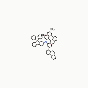 CC(C)(C)c1cc(-c2cccc3cccc(-c4ccccc4N(c4cccc(-c5cccc6c5ccc5ccccc56)c4)c4ccc5c(c4)C(c4ccccc4)(c4ccccc4)c4ccccc4-5)c23)cc(C(C)(C)C)c1